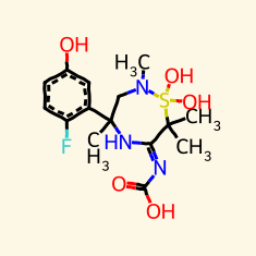 CN1CC(C)(c2cc(O)ccc2F)NC(=NC(=O)O)C(C)(C)S1(O)O